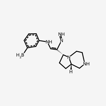 Bc1cccc(N/C=C(\N=N)[C@H]2CC[C@H]3CNCCN32)c1